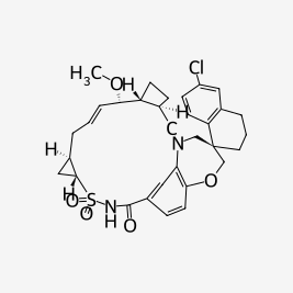 CO[C@H]1/C=C/C[C@@H]2C[C@H]2S(=O)(=O)NC(=O)c2ccc3c(c2)N(C[C@@H]2CC[C@H]21)C[C@@]1(CCCc2cc(Cl)ccc21)CO3